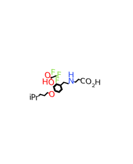 CC(C)CCCOc1ccc(CCNCCC(=O)O)cc1.O=C(O)C(F)(F)F